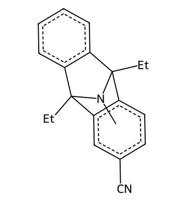 CCC12c3ccccc3C(CC)(c3cc(C#N)ccc31)N2C